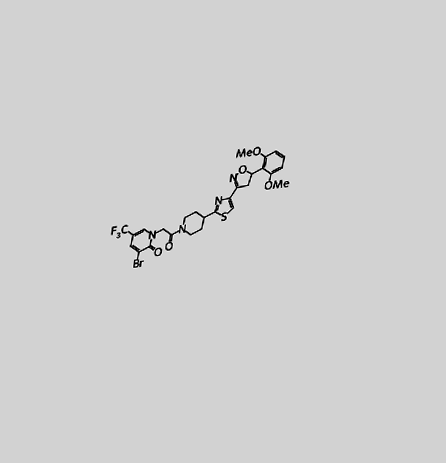 COc1cccc(OC)c1C1CC(c2csc(C3CCN(C(=O)Cn4cc(C(F)(F)F)cc(Br)c4=O)CC3)n2)=NO1